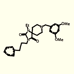 CCN1C(=O)N(CCCc2ccccc2)C(=O)C12CCN(Cc1cc(OC)cc(OC)c1)CC2